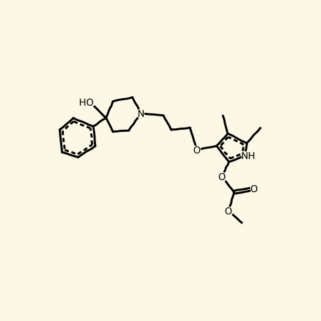 COC(=O)Oc1[nH]c(C)c(C)c1OCCCN1CCC(O)(c2ccccc2)CC1